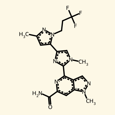 Cc1cc(-c2cn(C)c(-c3nc(C(N)=O)cc4c3cnn4C)n2)n(CCC(F)(F)F)n1